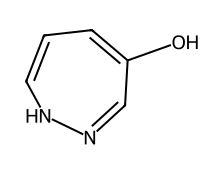 OC1=CC=CNN=C1